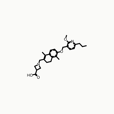 CCCc1ccc(COc2ccc3c(c2C)CCC(CN2CC(C(=O)O)C2)=C3C)c(OC)n1